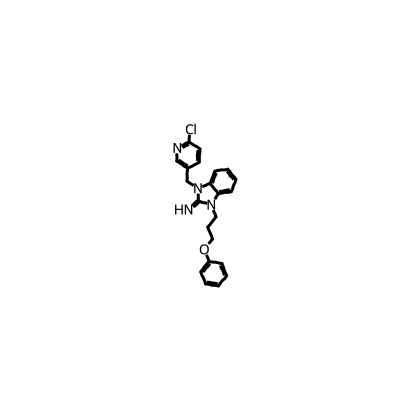 N=c1n(CCCOc2ccccc2)c2ccccc2n1Cc1ccc(Cl)nc1